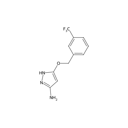 Nc1cc(OCc2cccc(C(F)(F)F)c2)[nH]n1